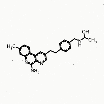 Cc1ccc2c(c1)nc(N)c1ncc(CCc3ccc(CNC(C)O)cc3)cc12